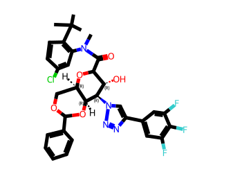 CN(C(=O)C1O[C@@H]2COC(c3ccccc3)O[C@@H]2[C@H](n2cc(-c3cc(F)c(F)c(F)c3)nn2)[C@H]1O)c1cc(Cl)ccc1C(C)(C)C